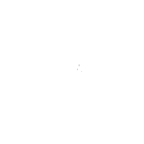 CCCCCCCCCCCCCCCCCCCC.CCCCCNNC(C)(C)CCC